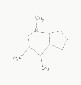 CC1CN(C)C2CCCC2C1C